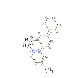 Cc1cc[n+](C)c(-c2ccc(C3CCCCC3)cc2C)c1